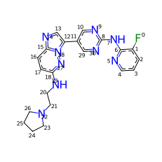 Fc1cccnc1Nc1ncc(-c2cnc3ccc(NCCN4CCCC4)nn23)cn1